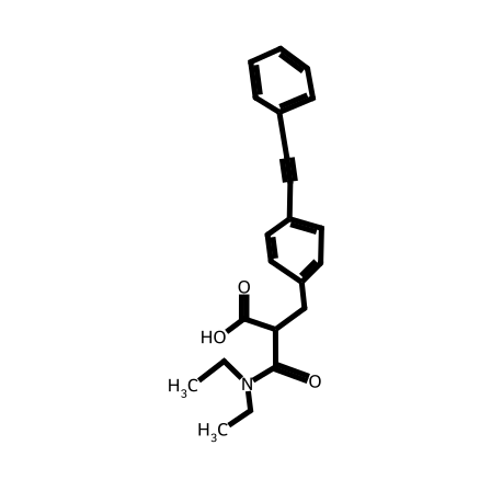 CCN(CC)C(=O)C(Cc1ccc(C#Cc2ccccc2)cc1)C(=O)O